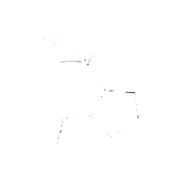 CCN1CCCC1N(C)[C]=O